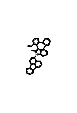 C=Cc1cccc2c1-c1c(C)n(-c3ccc4c5c(cccc35)-c3ccccc3-4)c3cccc(c13)-c1ccccc1-2